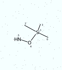 C[Si](C)(C)O[NH]